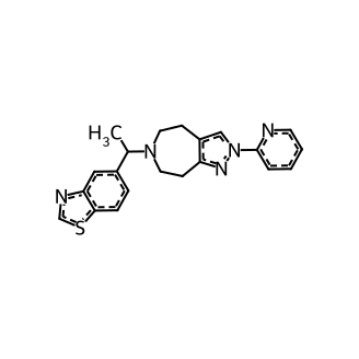 CC(c1ccc2scnc2c1)N1CCc2cn(-c3ccccn3)nc2CC1